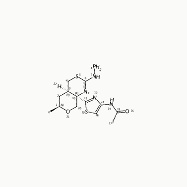 C[C@H]1C[C@H]2CSC(NP)=N[C@@]2(c2nc(NC(=O)I)cs2)CO1